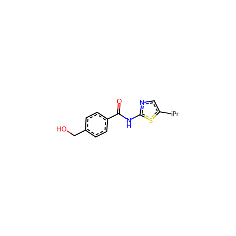 CC(C)c1cnc(NC(=O)c2ccc(CO)cc2)s1